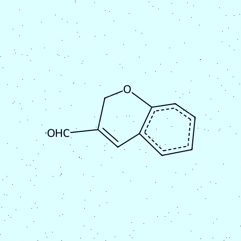 O=[C]C1=Cc2ccccc2OC1